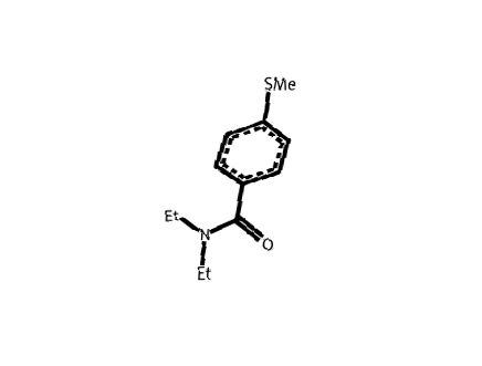 CCN(CC)C(=O)c1ccc(SC)cc1